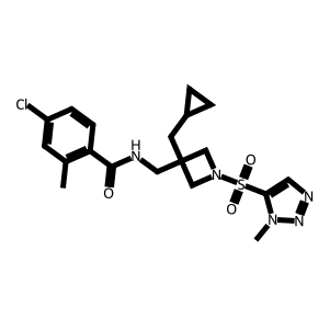 Cc1cc(Cl)ccc1C(=O)NCC1(CC2CC2)CN(S(=O)(=O)c2cnnn2C)C1